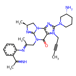 CC#CCn1c(N2CCC[C@@H](N)C2)nc2c1C(=O)N(C/C(C)=N/c1ccccc1C(C)=N)C1=N[C@@H](C)CN12